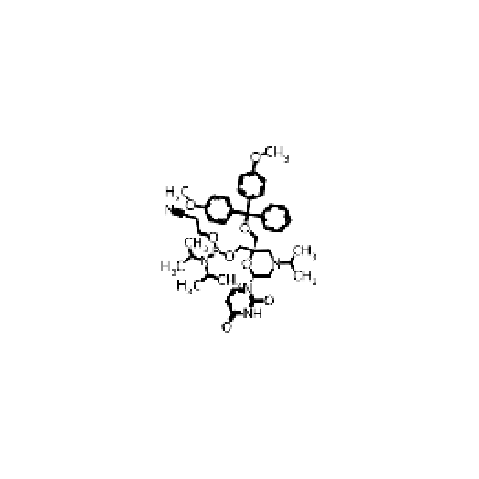 COc1ccc(C(OC[C@@]2(COP(OCCC#N)N(C(C)C)C(C)C)CN(C(C)C)C[C@H](n3ccc(=O)[nH]c3=O)O2)(c2ccccc2)c2ccc(OC)cc2)cc1